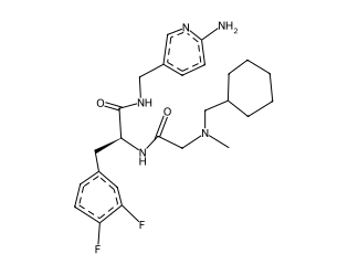 CN(CC(=O)N[C@@H](Cc1ccc(F)c(F)c1)C(=O)NCc1ccc(N)nc1)CC1CCCCC1